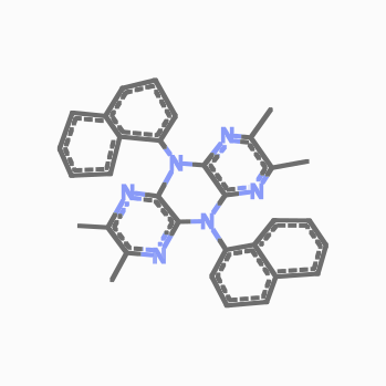 Cc1nc2c(nc1C)N(c1cccc3ccccc13)c1nc(C)c(C)nc1N2c1cccc2ccccc12